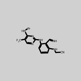 CC(C)Nc1nc(Nc2cccc(NCC#N)c2C=N)ncc1C(F)(F)F